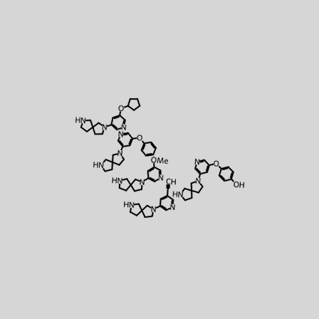 C#Cc1cncc(N2CCC3(CCNC3)C2)c1.COc1cncc(N2CCC3(CCNC3)C2)c1.Oc1ccc(Oc2cncc(N3CCC4(CCNC4)C3)c2)cc1.c1ccc(Oc2cncc(N3CCC4(CCNC4)C3)c2)cc1.c1ncc(N2CCC3(CCNC3)C2)cc1OC1CCCC1